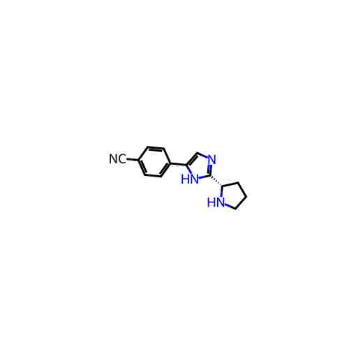 N#Cc1ccc(-c2cnc([C@@H]3CCCN3)[nH]2)cc1